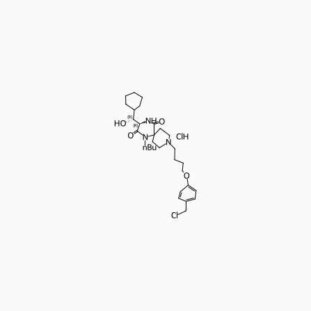 CCCCN1C(=O)[C@@H]([C@H](O)C2CCCCC2)NC(=O)C12CCN(CCCCOc1ccc(CCl)cc1)CC2.Cl